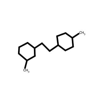 CC1CCC(CCC2CCCC(C)C2)CC1